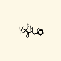 CC(C)C(C)(C)C(=O)NCc1ccco1